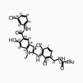 Cn1c(Nc2c(Cl)ccc(CNC(=O)C(C)(C)C)c2Cl)nc2cc(C(=O)Nc3cccc(Cl)c3)c(O)cc21